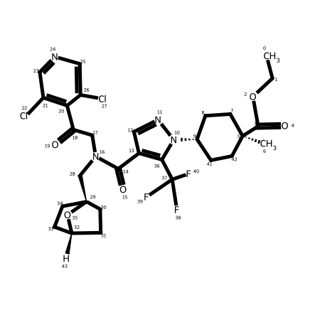 CCOC(=O)[C@]1(C)CC[C@@H](n2ncc(C(=O)N(CC(=O)c3c(Cl)cncc3Cl)C[C@]34CC[C@H](CC3)O4)c2C(F)(F)F)CC1